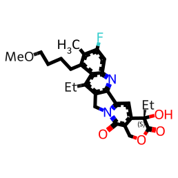 CCc1c2c(nc3cc(F)c(C)c(CCCCOC)c13)-c1cc3c(c(=O)n1C2)COC(=O)[C@]3(O)CC